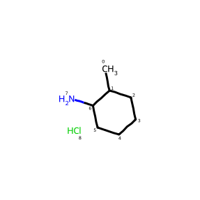 CC1CCCCC1N.Cl